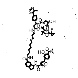 Cc1ncsc1-c1ccc(C(CC(=O)NCCCCCCCCCCNC(=O)c2ccc3c(c2)[C@H](NC(=O)c2cc(-c4ccc(C(=O)N(C)C)c(O)c4)on2)CC3)NC(=O)[C@@H]2C[C@@H](O)CN2C(=O)C(NC(=O)C2(F)CC2)C(C)(C)C)cc1